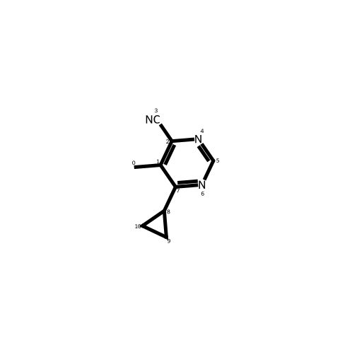 Cc1c(C#N)ncnc1C1CC1